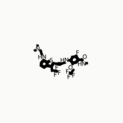 CNC(=O)c1cc(OCC(F)(F)F)c(NCC#Cc2sc3c(NCCN(C)C)cccc3c2CC(F)(F)F)cc1F